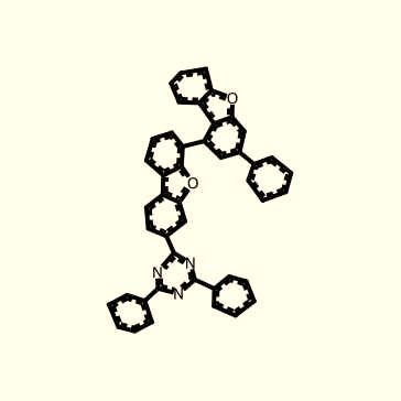 c1ccc(-c2cc(-c3cccc4c3oc3cc(-c5nc(-c6ccccc6)nc(-c6ccccc6)n5)ccc34)c3c(c2)oc2ccccc23)cc1